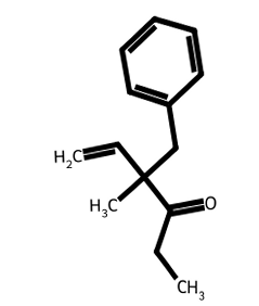 C=CC(C)(Cc1ccccc1)C(=O)CC